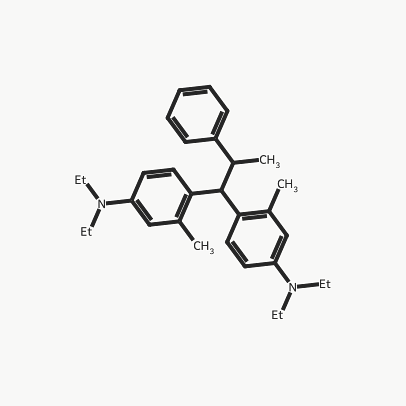 CCN(CC)c1ccc(C(c2ccc(N(CC)CC)cc2C)C(C)c2ccccc2)c(C)c1